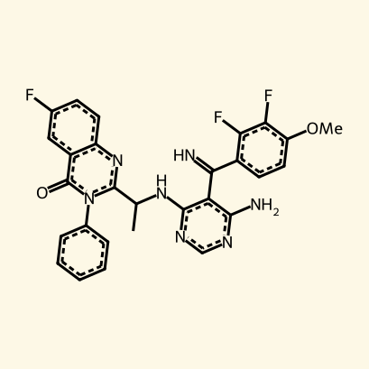 COc1ccc(C(=N)c2c(N)ncnc2NC(C)c2nc3ccc(F)cc3c(=O)n2-c2ccccc2)c(F)c1F